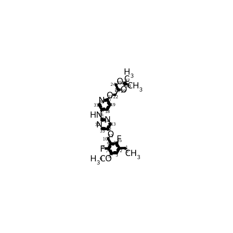 CCc1cc(OC)c(F)c(COc2cnc(Nc3ccc(OC[C@H]4COC(C)(C)O4)nc3)nc2)c1F